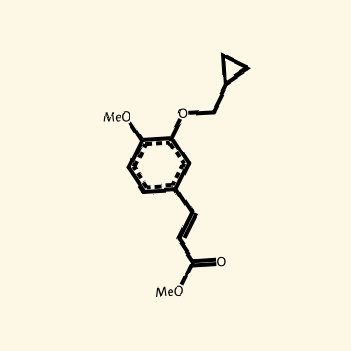 COC(=O)/C=C/c1ccc(OC)c(OCC2CC2)c1